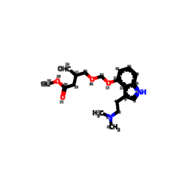 CN(C)CCc1c[nH]c2cccc(OCOCC(C=O)CC(=O)OC(C)(C)C)c12